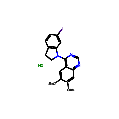 COc1cc2ncnc(N3CCc4ccc(I)cc43)c2cc1OC.Cl